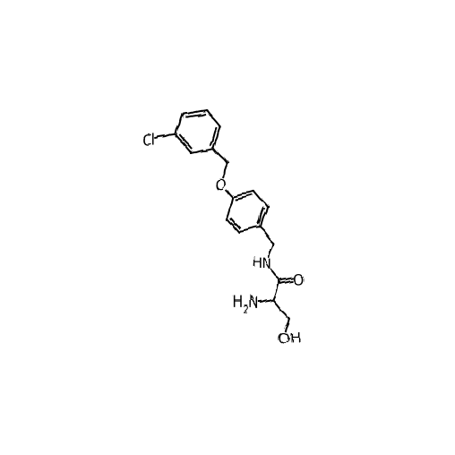 NC(CO)C(=O)NCc1ccc(OCc2cccc(Cl)c2)cc1